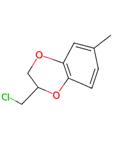 Cc1ccc2c(c1)OCC(CCl)O2